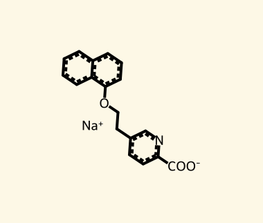 O=C([O-])c1ccc(CCOc2cccc3ccccc23)cn1.[Na+]